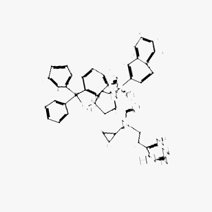 O=C([C@@H]1C[C@@H](SC(c2ccccc2)(c2ccccc2)c2ccccc2)CN1S(=O)(=O)c1ccc2ccccc2c1)N(CCc1nnn[nH]1)C1CC1